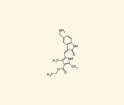 CCOC(=O)c1c(C)[nH]c(C=C2C(=O)Nc3ccc(CN)cc32)c1C